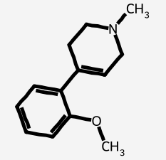 COc1ccccc1C1=CCN(C)CC1